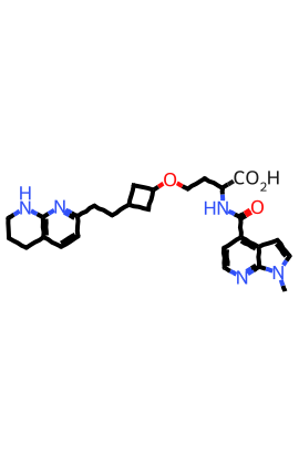 Cn1ccc2c(C(=O)NC(CCOC3CC(CCc4ccc5c(n4)NCCC5)C3)C(=O)O)ccnc21